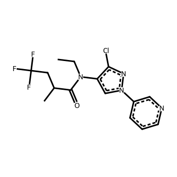 CCN(C(=O)C(C)CC(F)(F)F)c1cn(-c2cccnc2)nc1Cl